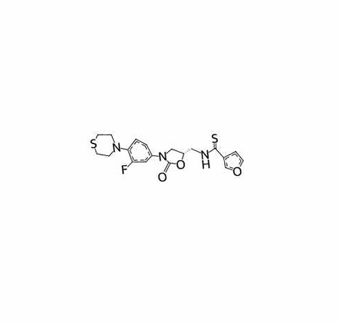 O=C1O[C@@H](CNC(=S)c2ccoc2)CN1c1ccc(N2CCSCC2)c(F)c1